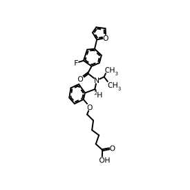 [2H]C(c1ccccc1OCCCCCC(=O)O)N(C(=O)c1ccc(-c2ccco2)cc1F)C(C)C